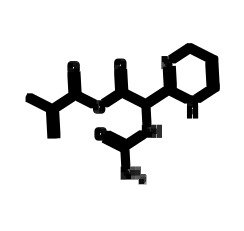 C=C(C)C(=O)OC(=O)C(NC(N)=O)C1=NCC=CN1